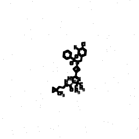 CC1(C)N=C(C23CC(N(Cc4ccc(Cl)c(F)c4)S(=O)(=O)c4ccccc4)(C2)C3)N[C@H]1C(=O)NCCC1(C(F)(F)F)CC1